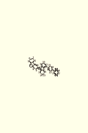 c1ccc2c(c1)oc1ccc(-n3c4ccccc4c4c(-c5ccc(-c6cnccn6)cc5)cccc43)cc12